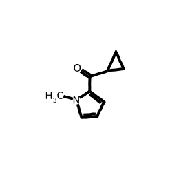 Cn1cccc1C(=O)C1CC1